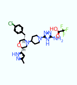 Cc1cc([C@H]2CN(C3CCN(c4nnc(N)[nH]4)CC3)[C@@H](Cc3ccc(Cl)cc3)CO2)[nH]n1.O=C(O)C(F)(F)F